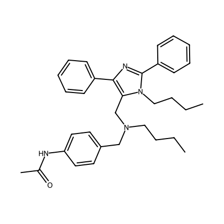 CCCCN(Cc1ccc(NC(C)=O)cc1)Cc1c(-c2ccccc2)nc(-c2ccccc2)n1CCCC